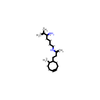 C=C(CCC1CCC#CCCC1C)NCCCCC(N)C(=C)C